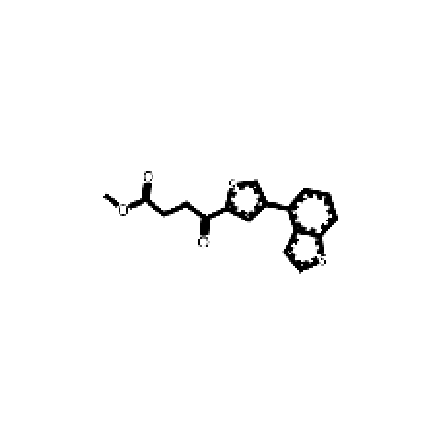 COC(=O)CCC(=O)c1cc(-c2cccc3sccc23)cs1